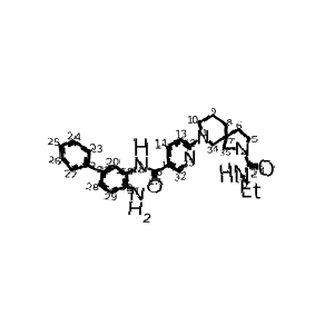 CCNC(=O)N1CCC2(CCCN(c3ccc(C(=O)Nc4cc(-c5ccccc5)ccc4N)cn3)C2)C1